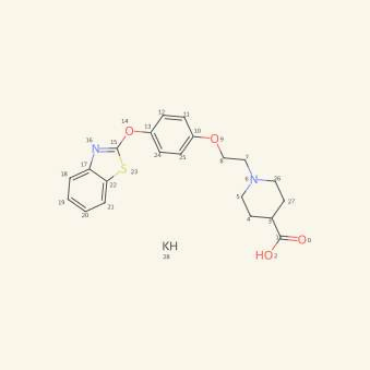 O=C(O)C1CCN(CCOc2ccc(Oc3nc4ccccc4s3)cc2)CC1.[KH]